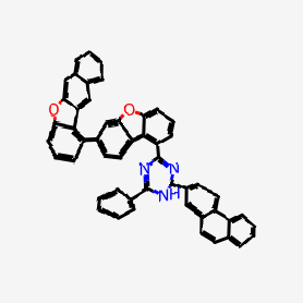 c1ccc(C2=NC(c3cccc4oc5cc(-c6cccc7oc8cc9ccccc9cc8c67)ccc5c34)=NC(c3ccc4c(ccc5ccccc54)c3)N2)cc1